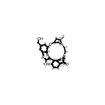 COc1nc2cc(CO)cc3c2nc1-c1cccc2c(=O)n([nH]c12)CCN1CC(C[C@H]1C)O3